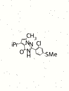 CSc1ccc(-c2nn3c(C)cc(C(C)C)c3c(=O)[nH]2)c(Cl)c1